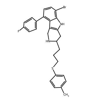 Cc1ccc(SCCCC2Cc3[nH]c4c(Br)ccc(-c5ccc(F)cc5)c4c3CN2)cc1